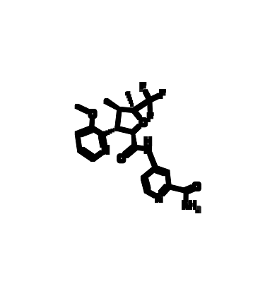 COc1cccnc1[C@@H]1[C@@H](C)[C@@](C)(C(F)(F)F)O[C@H]1C(=O)Nc1ccnc(C(N)=O)c1